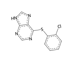 Clc1ccccc1Sc1ncnc2[nH]cnc12